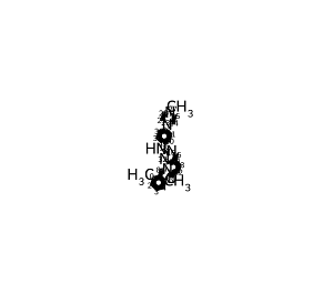 Cc1cccc(C)c1Cn1c(=O)ccc2cnc(Nc3ccc(N4CCN(C)CC4)cc3)nc21